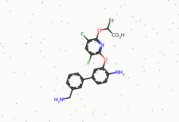 CCC(Oc1nc(Oc2cc(-c3cccc(CN)c3)ccc2N)c(F)cc1F)C(=O)O